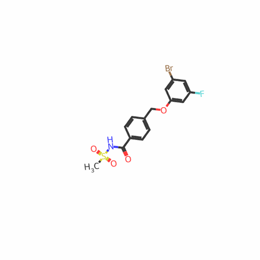 CS(=O)(=O)NC(=O)c1ccc(COc2cc(F)cc(Br)c2)cc1